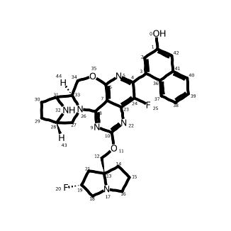 Oc1cc(-c2nc3c4c(nc(OC[C@@]56CCCN5C[C@H](F)C6)nc4c2F)N2C[C@@H]4CCC(N4)[C@H]2CO3)c2ccccc2c1